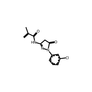 C=C(C)C(=O)NC1=NN(c2cccc(Cl)c2)C(=O)C1